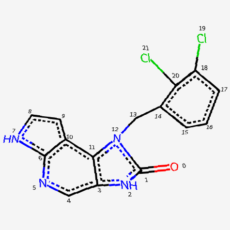 O=c1[nH]c2cnc3[nH]ccc3c2n1Cc1cccc(Cl)c1Cl